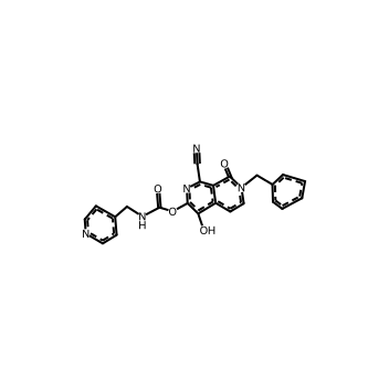 N#Cc1nc(OC(=O)NCc2ccncc2)c(O)c2ccn(Cc3ccccc3)c(=O)c12